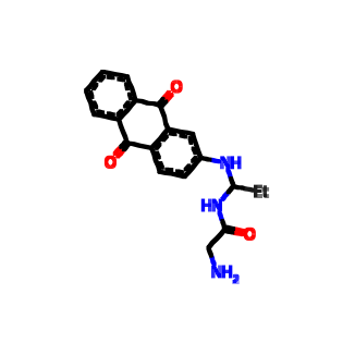 CCC(NC(=O)CN)Nc1ccc2c(c1)C(=O)c1ccccc1C2=O